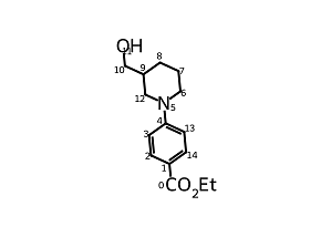 CCOC(=O)c1ccc(N2CCCC(CO)C2)cc1